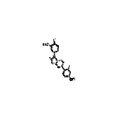 Cc1cc(O)ccc1-c1ccc2c(cnn2-c2ccc(F)c(O)c2)c1